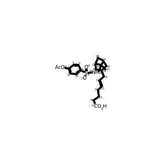 CC(=O)Oc1ccc(S(=O)(=O)NC2C(C/C=C/CCCC(=O)O)CC3CC2C3(C)C)cc1